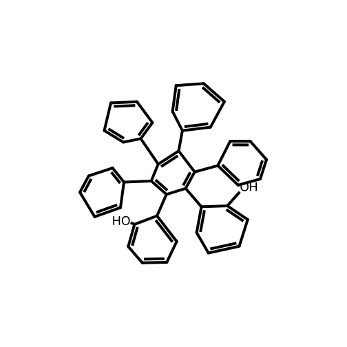 Oc1ccccc1-c1c(-c2ccccc2)c(-c2ccccc2)c(-c2ccccc2)c(-c2ccccc2)c1-c1ccccc1O